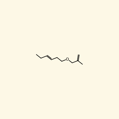 C=C(C)COCC/C=C/CC